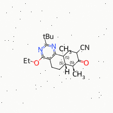 CCOc1nc(C(C)(C)C)nc2c1CC[C@H]1[C@H](C)C(=O)C(C#N)C[C@]21C